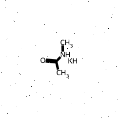 CNC(C)=O.[KH]